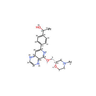 CC(=O)N1CCO[C@H](COc2nc(-c3ccc(C(O)C(C)C)cc3)cc3nccnc23)C1